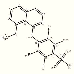 CCc1cccc2cccc(Sc3c(F)c(F)c(S(=O)(=O)O)c(F)c3F)c12